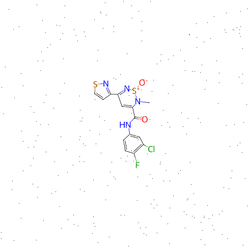 CN1C(C(=O)Nc2ccc(F)c(Cl)c2)=CC(c2ccsn2)=N[S+]1[O-]